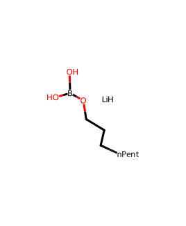 CCCCCCCCOB(O)O.[LiH]